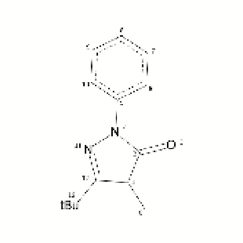 CC1C(=O)N(c2ccccc2)N=C1C(C)(C)C